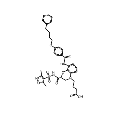 Cc1noc(C)c1S(=O)(=O)NC(=O)C1CN(CCCC(=O)O)c2cccc(NC(=O)c3ccc(OCCCCc4ccccc4)cc3)c2O1